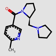 Cc1ccc(C(=O)N2CCC[C@H]2CN2CCCC2)cn1